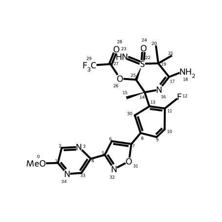 COc1cnc(-c2cc(-c3ccc(F)c([C@@]4(C)N=C(N)C(C)(C)[S@](=N)(=O)C4OC(=O)C(F)(F)F)c3)on2)cn1